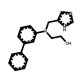 OCCN(Cc1cnc[nH]1)c1cccc(-c2ccccc2)c1